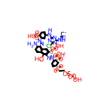 [C-]#[N+]Nc1nc(Cl)nc(Nc2ccc(S(=O)(=O)O)c(/N=N/c3c(N)ccc4c(O)c(/N=N/c5ccc(S(=O)(=O)CCOSOOO)cc5S(=O)(=O)O)c(SOOO)cc34)c2)n1